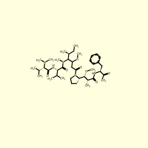 CC[C@H](C)C(C(CC(=O)N1CCC[C@H]1[C@H](OC)[C@@H](C)C(=O)N[C@@H](Cc1ccccc1)C(C)=O)OC)N(C)C(=O)[C@@H](NC(=O)[C@H](C(C)C)N(C)C)C(C)C